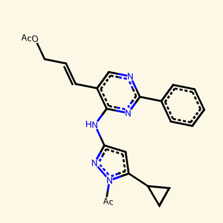 CC(=O)OC/C=C/c1cnc(-c2ccccc2)nc1Nc1cc(C2CC2)n(C(C)=O)n1